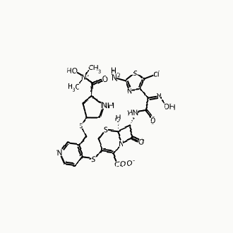 C[N+](C)(O)C(=O)[C@@H]1CC(SCc2cnccc2SC2=C(C(=O)[O-])N3C(=O)[C@@H](NC(=O)/C(=N\O)c4nc(N)sc4Cl)[C@@H]3SC2)CN1